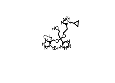 Cn1nnnc1COC(CCO)(OCCc1nnnn1C1CC1)c1nnnn1C(C)(C)C